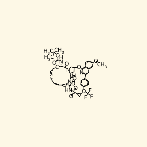 COc1ccc2c(OC3C[C@H]4C(=O)N[C@]5(C(=O)NS(=O)(=O)C6CC6)CC5/C=C\CCCCC[C@H](NC(=O)OC(C)(C)C)C(=O)N4C3)nc(-c3ccc(OC(F)(F)F)cc3)cc2c1